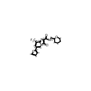 O=C(NCC1CCCCO1)c1nc2c(C(F)(F)F)cc(-c3ccco3)cn2c1Cl